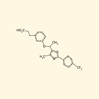 Cc1nc(-c2ccc(C(F)(F)F)cc2)oc1C(C)Oc1cccc(CCC(=O)O)c1